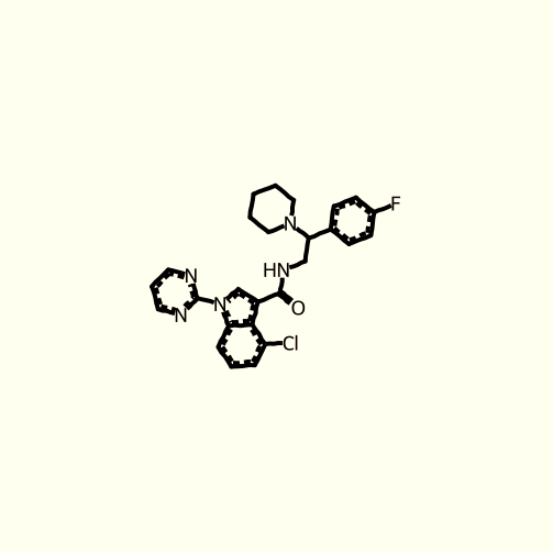 O=C(NCC(c1ccc(F)cc1)N1CCCCC1)c1cn(-c2ncccn2)c2cccc(Cl)c12